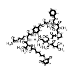 CC[C@H](C)[C@@H]([C@@H](CC(=O)N1CCC[C@H]1[C@H](OC)[C@@H](C)C(=O)N[C@H](CNC(=O)OCc1ccc(NC(=O)[C@H](CCCNC(N)=O)NC(=O)[C@@H](NC(=O)CCCCCN2C(=O)C=CC2=O)C(C)C)cc1)Cc1ccccc1)OC)N(C)C(=O)CC(C)C